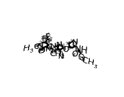 COCC(=O)Nc1cc(Oc2cnc3nc(Nc4cc(C(F)(F)F)cn(C)c4=O)n(C)c3c2C#N)ccn1